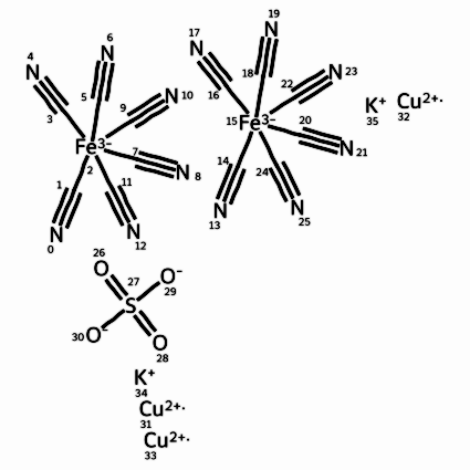 N#[C][Fe-3]([C]#N)([C]#N)([C]#N)([C]#N)[C]#N.N#[C][Fe-3]([C]#N)([C]#N)([C]#N)([C]#N)[C]#N.O=S(=O)([O-])[O-].[Cu+2].[Cu+2].[Cu+2].[K+].[K+]